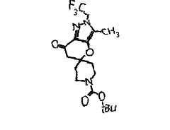 Cc1c2c(nn1CC(F)(F)F)C(=O)CC1(CCN(C(=O)OC(C)(C)C)CC1)O2